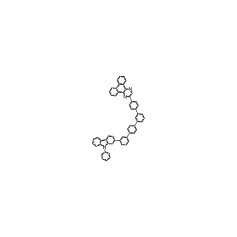 c1ccc(-n2c3ccccc3c3ccc(-c4cccc(-c5ccc(-c6cccc(-c7ccc(-c8cnc9c%10ccccc%10c%10ccccc%10c9n8)cc7)c6)cc5)c4)cc32)cc1